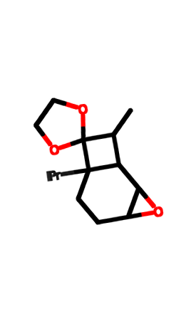 CC1C2C3OC3CCC2(C(C)C)C12OCCO2